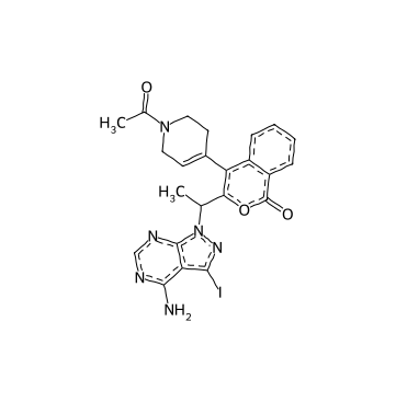 CC(=O)N1CC=C(c2c(C(C)n3nc(I)c4c(N)ncnc43)oc(=O)c3ccccc23)CC1